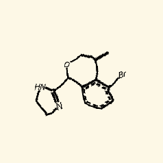 CC1COC(C2=NCCN2)c2cccc(Br)c21